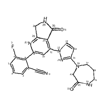 N#Cc1cccc(F)c1-c1cc(-n2ccc(N3CCCNC(=O)C3)n2)c2c(n1)CNC2=O